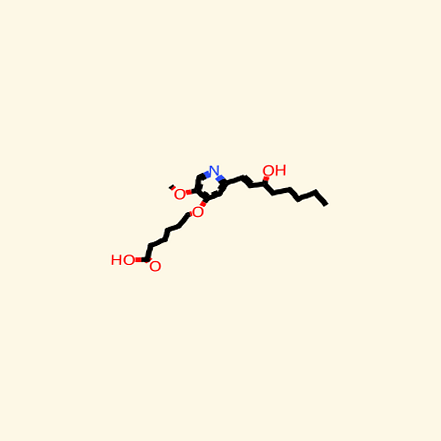 CCCCCC(O)C=Cc1cc(OCCCCCC(=O)O)c(OC)cn1